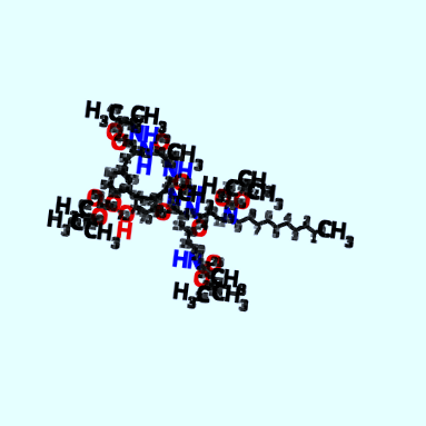 CCCCCCCCCCN(CCC(=O)N[C@@H](CCCCNC(=O)OC(C)(C)C)C(=O)N(C)[C@@H]1C(=O)N[C@@H](C)C(=O)N[C@H](C(=O)N[C@@H](C)C(C)=O)Cc2ccc(OC(=O)OC(C)(C)C)c(c2)-c2cc1ccc2O)C(=O)OC(C)(C)C